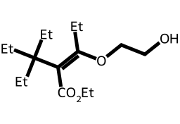 CCOC(=O)C(=C(CC)OCCO)C(CC)(CC)CC